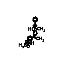 CCC1(c2cccc(NS(C)(=O)=O)c2)C2CN(C(C)C3(O)CC(c4ccccc4)C3)CC21